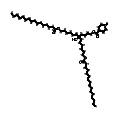 CCCCCCCCCCCCCCCC(=O)OCCCCCCC(O)(CCCCCCOC(=O)CCCCCCCCCCCCCCC)CCCCOC(=O)C1CCN(C)CC1